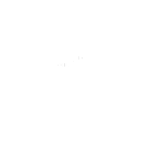 [CH2]CC(C)(C=O)c1ccccc1